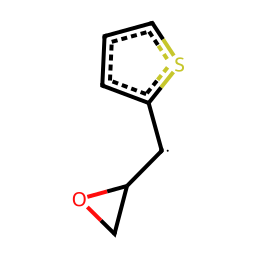 [CH](c1cccs1)C1CO1